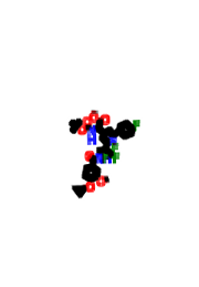 COC(=O)C(NC(=O)OC(C)(C)C)c1cc(-c2ccc(F)cc2)nc(C(CNC(=O)c2ccc(OC3CC3)c(OC)c2)C(F)(F)F)c1